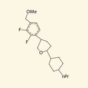 CCCC1CCC(C2CCC(c3ccc(COC)c(F)c3F)CO2)CC1